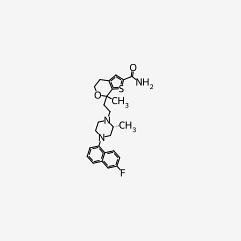 C[C@@H]1CN(c2cccc3cc(F)ccc23)CCN1CCC1(C)OCCc2cc(C(N)=O)sc21